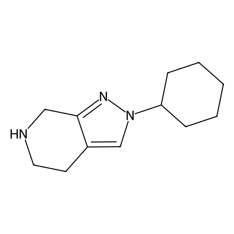 c1c2c(nn1C1CCCCC1)CNCC2